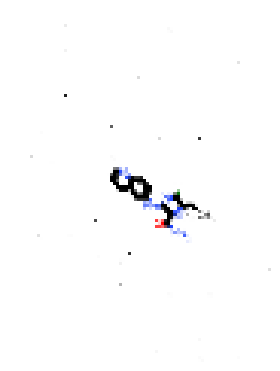 CCc1nc(C(N)=O)c(Nc2ccc3ncccc3c2)nc1Cl